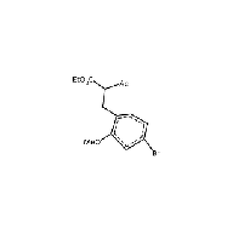 CCOC(=O)C(Cc1ccc(Br)cc1OC)C(C)=O